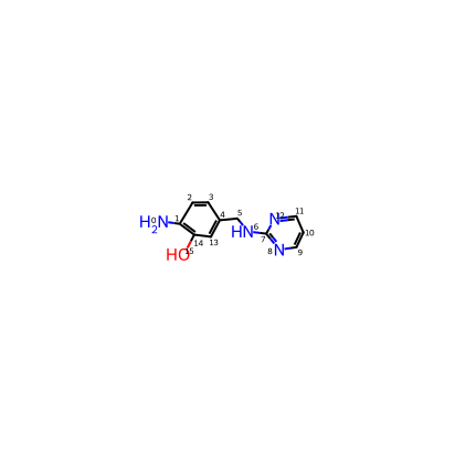 Nc1ccc(CNc2ncccn2)cc1O